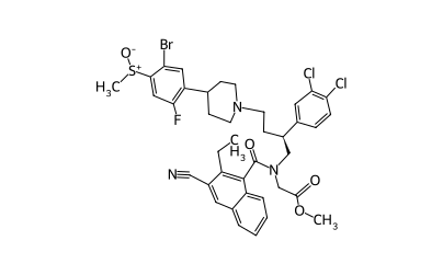 CCc1c(C#N)cc2ccccc2c1C(=O)N(CC(=O)OC)C[C@@H](CCN1CCC(c2cc(Br)c([S+](C)[O-])cc2F)CC1)c1ccc(Cl)c(Cl)c1